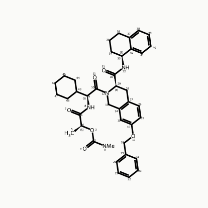 CNC(=O)O[C@@H](C)C(=O)N[C@H](C(=O)N1Cc2cc(OCc3ccccc3)ccc2C[C@@H]1C(=O)N[C@H]1CCCc2ccccc21)C1CCCCC1